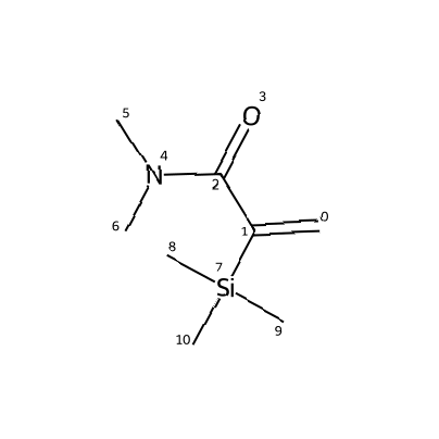 C=C(C(=O)N(C)C)[Si](C)(C)C